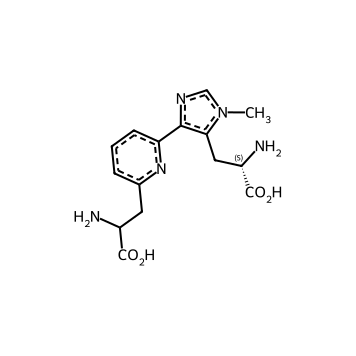 Cn1cnc(-c2cccc(CC(N)C(=O)O)n2)c1C[C@H](N)C(=O)O